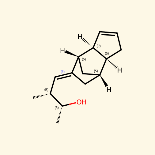 C[C@H](/C=C1\C[C@@H]2C[C@H]1[C@H]1C=CC[C@@H]21)[C@@H](C)O